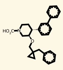 O=C(O)N1CC[C@H](c2cccc(-c3ccccc3)c2)[C@@H](OCC2(Cc3ccccc3)CC2)C1